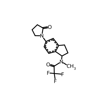 CN(C(=O)C(F)(F)F)C1CCc2cc(N3CCCC3=O)ccc21